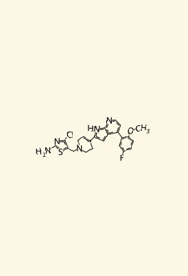 COc1ccc(F)cc1-c1ccnc2[nH]c(C3=CCN(Cc4sc(N)nc4Cl)CC3)cc12